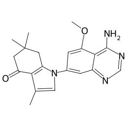 COc1cc(-n2cc(C)c3c2CC(C)(C)CC3=O)cc2ncnc(N)c12